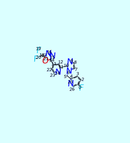 Fc1ccc(Cn2ccnc2-c2cc(-c3nnc(C(F)F)o3)ccn2)nc1